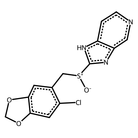 [O-][S+](Cc1cc2c(cc1Cl)OCO2)c1nc2cnccc2[nH]1